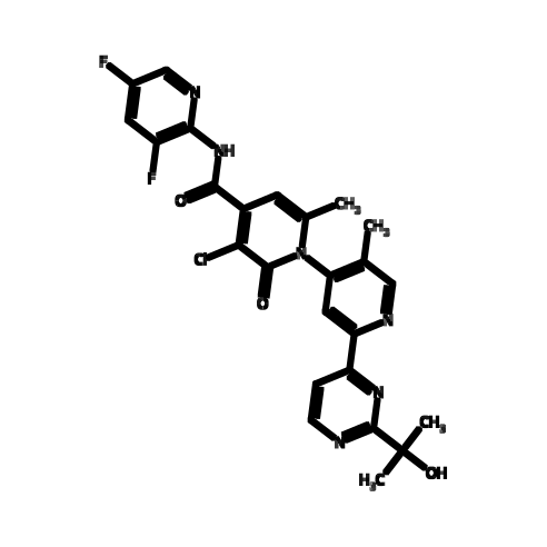 Cc1cnc(-c2ccnc(C(C)(C)O)n2)cc1-n1c(C)cc(C(=O)Nc2ncc(F)cc2F)c(Cl)c1=O